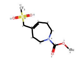 CC(C)(C)OC(=O)N1CCC=C(CS(=O)(=O)C(F)(F)F)CC1